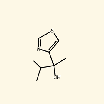 CC(C)C(C)(O)c1cscn1